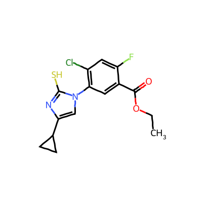 CCOC(=O)c1cc(-n2cc(C3CC3)nc2S)c(Cl)cc1F